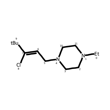 CCN1CCN(C/C=C(\Cl)C(C)(C)C)CC1